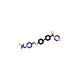 CC(C)(F)CN1CCC(COc2ccc(-c3ccc(C(=O)N4CCOCC4)cc3)cc2)CC1